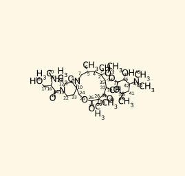 CO[C@]1(C)C[C@@H](C)CN(C)C2(CCN(C(=O)[C@@H](CO)N(C)C)CC2)COC(=O)C(C)(C)C(=O)[C@H](C)[C@H]1O[C@@H]1O[C@H](C)C[C@H](N(C)C)[C@H]1O